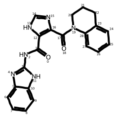 O=C(Nc1nc2ccccc2[nH]1)c1[nH]cnc1C(=O)N1CCCc2ccccc21